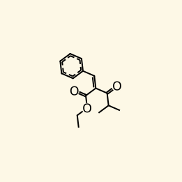 CCOC(=O)C(=Cc1ccccc1)C(=O)C(C)C